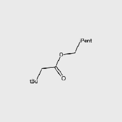 CCCC(C)COC(=O)CC(C)(C)C